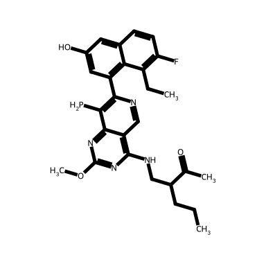 CCCC(CNc1nc(OC)nc2c(P)c(-c3cc(O)cc4ccc(F)c(CC)c34)ncc12)C(C)=O